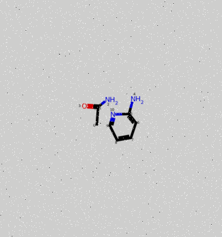 CC(N)=O.Nc1ccccn1